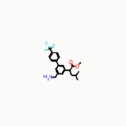 COC(=O)C(CC(C)C)c1cc(CN)cc(-c2ccc(C(F)(F)F)cc2)c1